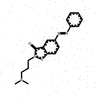 CN(C)CCCn1sc2ccc(N=Nc3ccccc3)cc2c1=O